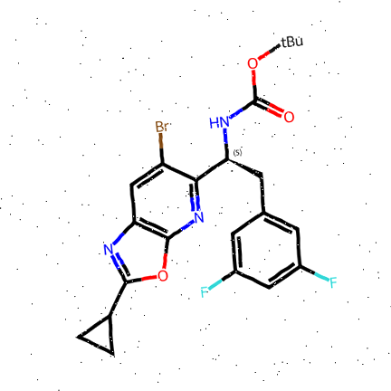 CC(C)(C)OC(=O)N[C@@H](Cc1cc(F)cc(F)c1)c1nc2oc(C3CC3)nc2cc1Br